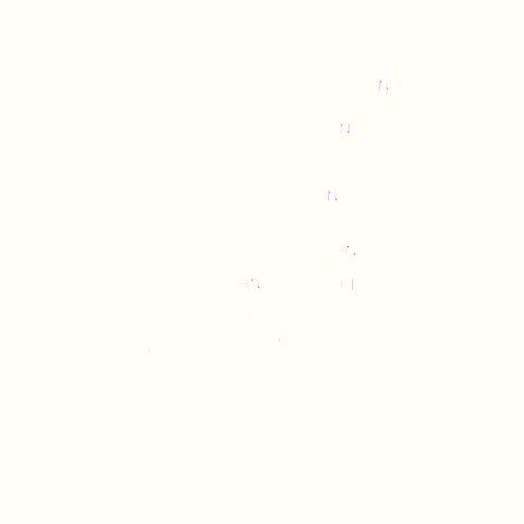 Cn1c(CCNC(=O)Oc2cc(F)cc3c2OCOC3)nc(-c2ccncn2)cc1=O